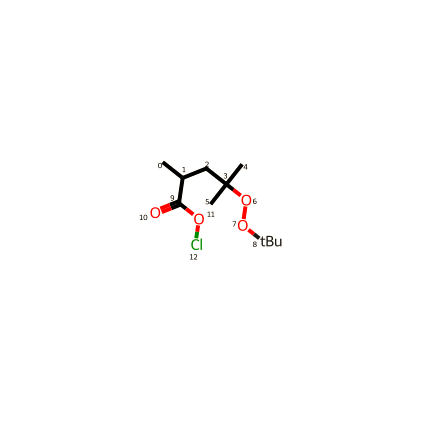 CC(CC(C)(C)OOC(C)(C)C)C(=O)OCl